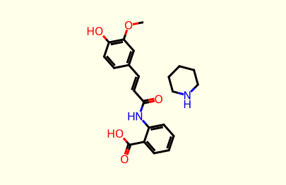 C1CCNCC1.COc1cc(C=CC(=O)Nc2ccccc2C(=O)O)ccc1O